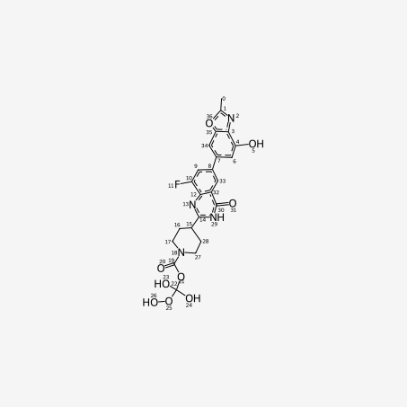 Cc1nc2c(O)cc(-c3cc(F)c4nc(C5CCN(C(=O)OC(O)(O)OO)CC5)[nH]c(=O)c4c3)cc2o1